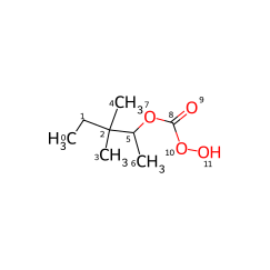 CCC(C)(C)C(C)OC(=O)OO